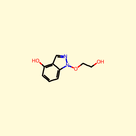 OCCOn1ncc2c(O)cccc21